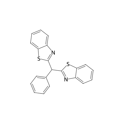 c1ccc(C(c2nc3ccccc3s2)c2nc3ccccc3s2)cc1